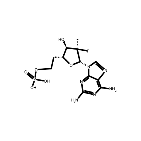 C[C@@]1(F)[C@H](O)[C@@H](CCOP(=O)(O)O)O[C@H]1n1cnc2c(N)nc(N)nc21